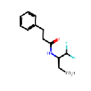 O=C(O)CC(NC(=O)CCc1ccccc1)C(F)F